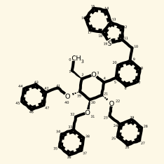 CC[C@H]1OC(c2cccc(Cc3cc4ccccc4s3)c2)[C@H](OCc2ccccc2)[C@@H](OCc2ccccc2)[C@@H]1OCc1ccccc1